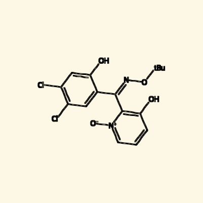 CC(C)(C)ON=C(c1cc(Cl)c(Cl)cc1O)c1c(O)ccc[n+]1[O-]